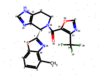 Cc1cccc2sc([C@@H]3c4nc[nH]c4CCN3C(=O)c3ocnc3C(F)(F)F)nc12